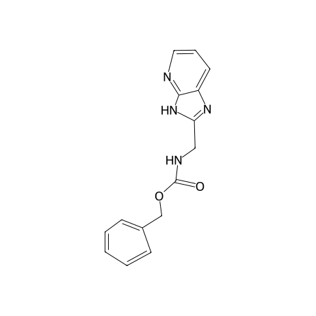 O=C(NCc1nc2cccnc2[nH]1)OCc1ccccc1